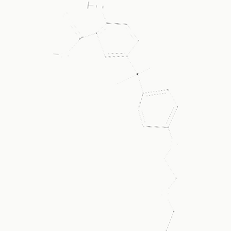 CCOCCOc1ccc(C(C)(C)c2ccc(O)c(C(=O)O)c2)cc1